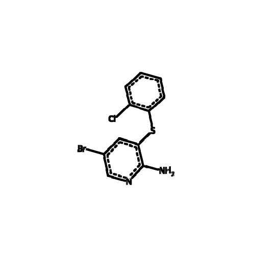 Nc1ncc(Br)cc1Sc1ccccc1Cl